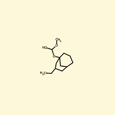 CCC1CC2CCCC(OC(O)OC)(C1)C2